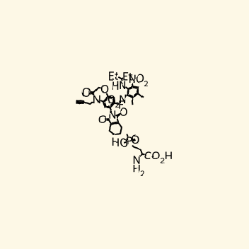 C#CCN1C(=O)COc2cc(F)c(N3C(=O)C4=C(CCCC4)C3=O)cc21.CCC(CC)Nc1c([N+](=O)[O-])cc(C)c(C)c1[N+](=O)[O-].CP(=O)(O)CCC(N)C(=O)O